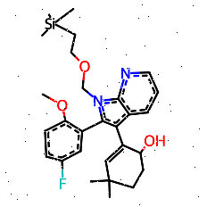 COc1ccc(F)cc1-c1c(C2=CC(C)(C)CCC2O)c2cccnc2n1COCC[Si](C)(C)C